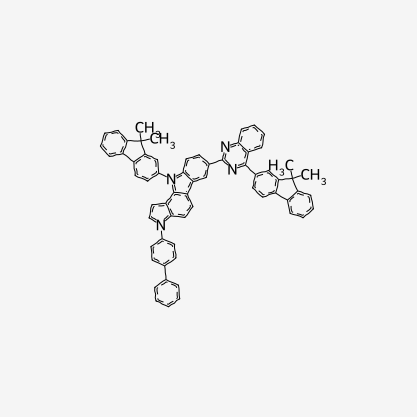 CC1(C)c2ccccc2-c2ccc(-c3nc(-c4ccc5c(c4)c4ccc6c(ccn6-c6ccc(-c7ccccc7)cc6)c4n5-c4ccc5c(c4)C(C)(C)c4ccccc4-5)nc4ccccc34)cc21